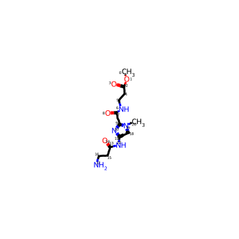 COC(=O)CCNC(=O)c1nc(NC(=O)CCN)cn1C